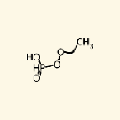 CCOO[PH](=O)O